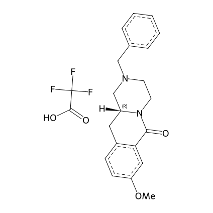 COc1ccc2c(c1)C(=O)N1CCN(Cc3ccccc3)C[C@H]1C2.O=C(O)C(F)(F)F